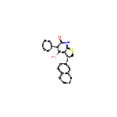 O=c1[nH]c2scc(-c3ccc4ccccc4c3)c2c(O)c1-c1ccccc1